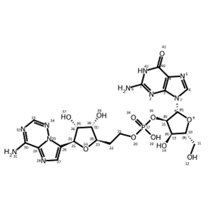 Nc1nc2c(ncn2[C@@H]2O[C@H](CO)[C@@H](O)[C@H]2OP(=O)(O)OCC[C@H]2O[C@@H](c3cnc4c(N)ncnn34)[C@H](O)[C@@H]2O)c(=O)[nH]1